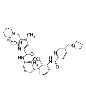 Cc1cc(C(=O)Nc2cccc(-c3cccc(NC(=O)c4ccc(CN5CCCC5)cn4)c3Cl)c2C)ncc1CN1CCCC[C@H]1C(=O)O